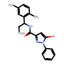 Cc1ccc(C)c(C(CC(=O)O)NC(=O)c2cc(O)n(-c3ccccc3)n2)c1